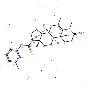 CC1=C2N(C)C(=O)CC[C@]2(C)[C@H]2CC[C@]3(C)[C@@H](C(=O)Nc4cccc(C)n4)CC[C@H]3[C@@H]2C1